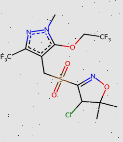 Cn1nc(C(F)(F)F)c(CS(=O)(=O)C2=NOC(C)(C)C2Cl)c1OCC(F)(F)F